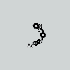 CC(=O)N1CC2=CN(Cc3ccc(Cc4nc5ccccc5s4)cc3)CC2C1